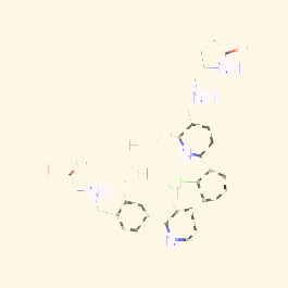 COc1cc(-c2nccc(-c3cccc(-c4ccc(CNC[C@@H]5CCC(=O)N5)c(OC)n4)c3Cl)c2Cl)ccc1CNCC(=O)O